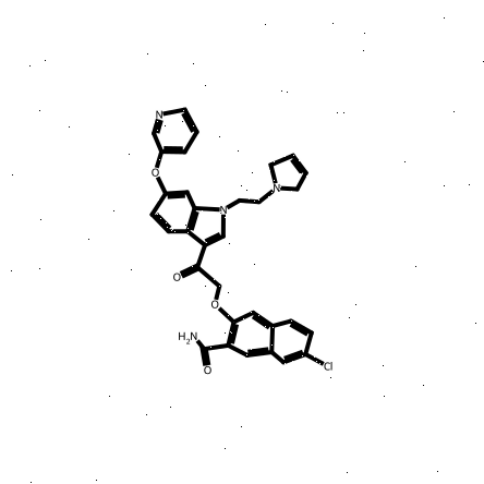 NC(=O)c1cc2cc(Cl)ccc2cc1OCC(=O)c1cn(CCN2CC=CC2)c2cc(Oc3cccnc3)ccc12